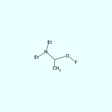 CCN(CC)C(C)OF